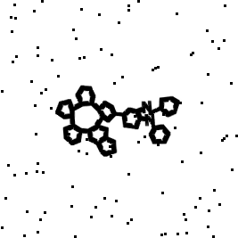 c1ccc(-c2nc3cc(-c4ccc5c6ccccc6c6ccccc6c6ccccc6c6cc7ccccc7cc6c5c4)ccc3n2-c2ccccc2)cc1